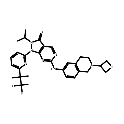 CC(C)n1c(=O)c2cnc(Nc3ccc4c(c3)CCN(C3COC3)C4)nc2n1-c1cccc(C(C)(C)C(F)(F)F)n1